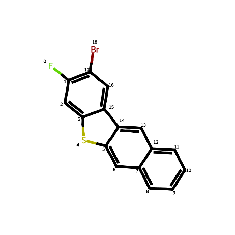 Fc1cc2sc3cc4ccccc4cc3c2cc1Br